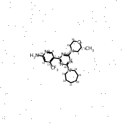 C[C@@H]1CN(c2nc(-c3cnc(N)cc3C(F)(F)F)nc(N3CCCCCC3)n2)CCO1